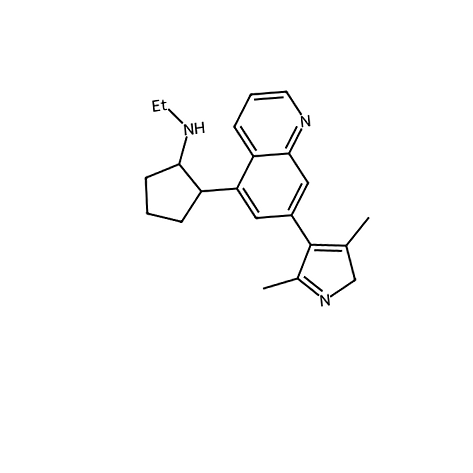 CCNC1CCCC1c1cc(C2=C(C)CN=C2C)cc2ncccc12